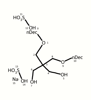 CCCCCCCCCCOCC(CO)(CO)COCCCCCCCCCC.O=S(=O)(O)O.O=S(=O)(O)O.[Na]